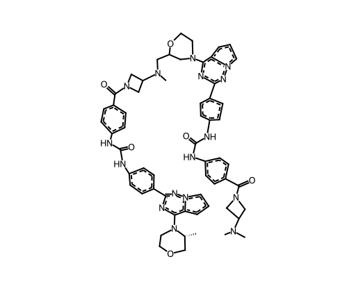 C[C@@H]1COCCN1c1nc(-c2ccc(NC(=O)Nc3ccc(C(=O)N4CC(N(C)CC5CN(c6nc(-c7ccc(NC(=O)Nc8ccc(C(=O)N9CC(N(C)C)C9)cc8)cc7)nn7cccc67)CCO5)C4)cc3)cc2)nn2cccc12